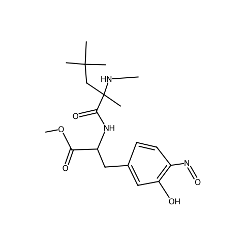 CNC(C)(CC(C)(C)C)C(=O)NC(Cc1ccc(N=O)c(O)c1)C(=O)OC